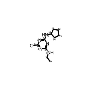 CCNc1nc(Cl)nc(NC2CCCC2)n1